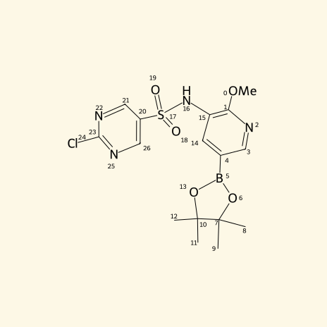 COc1ncc(B2OC(C)(C)C(C)(C)O2)cc1NS(=O)(=O)c1cnc(Cl)nc1